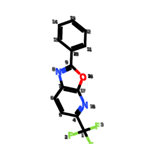 FC(F)(F)c1ccc2nc(-c3ccccc3)oc2n1